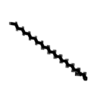 CCCCCCCCCCCCCCCCCCCCCCNC=O